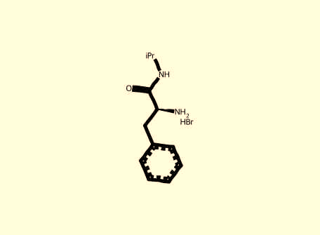 Br.CC(C)NC(=O)[C@@H](N)Cc1ccccc1